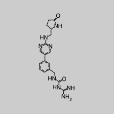 N=C(N)NC(=O)NCc1cccc(-c2cnc(NCC3CCC(=O)N3)nc2)c1